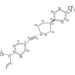 C=CC(CC)c1ccc(C#C[C@H]2CC[C@H](c3ccc(C(F)(F)F)cc3)CC2)cc1